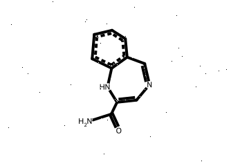 NC(=O)C1=CN=Cc2ccccc2N1